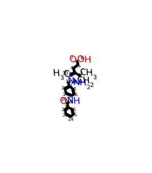 C=C(C)/C(CCC(=O)O)=C(/C)N(N)Cc1ccc(NC(=O)c2ccccc2)cc1